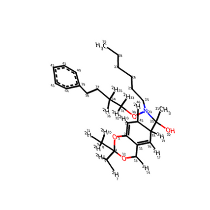 [2H]C1=C2OC(C([2H])[2H])(C([2H])([2H])[2H])OC([2H])C2=C([2H])C([2H])(C(C)(O)N(CCCCCC)OC([2H])([2H])C([2H])([2H])CCc2ccccc2)C1[2H]